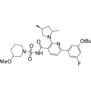 COC1CCCN(S(=O)(=O)NC(=O)c2ccc(-c3cc(F)cc(OCC(C)C)c3)nc2N2C[C@@H](C)CC2C)C1